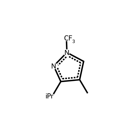 Cc1cn(C(F)(F)F)nc1C(C)C